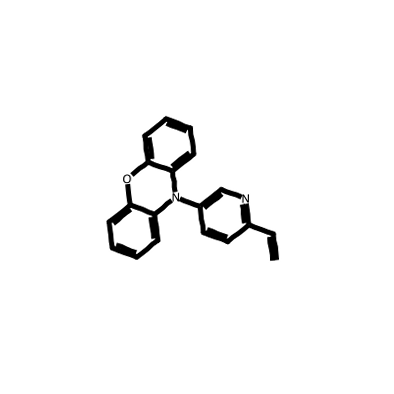 C=Cc1ccc(N2c3ccccc3Oc3ccccc32)cn1